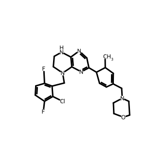 CC1C=C(CN2CCOCC2)C=CC1c1cnc2c(n1)N(Cc1c(F)ccc(F)c1Cl)CCN2